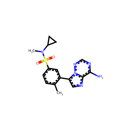 Cc1ccc(S(=O)(=O)N(C)C2CC2)cc1-c1cnc2c(N)ncnn12